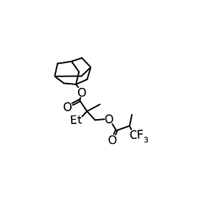 CCC(C)(COC(=O)C(C)C(F)(F)F)C(=O)OC12CC3CC(CC(C3)C1)C2